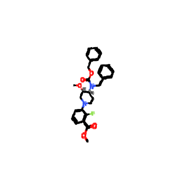 COC(=O)c1cccc(N2CC[C@@H](N(Cc3ccccc3)C(=O)OCc3ccccc3)[C@@H](OC)C2)c1F